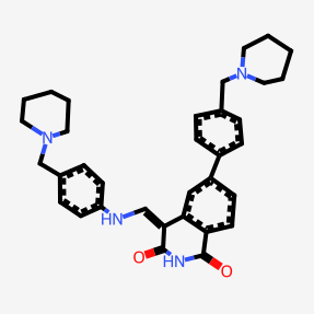 O=C1NC(=O)c2ccc(-c3ccc(CN4CCCCC4)cc3)cc2C1=CNc1ccc(CN2CCCCC2)cc1